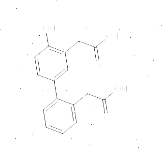 O=C(O)Cc1cc(-c2cc[c]cc2CC(=O)O)ccc1O